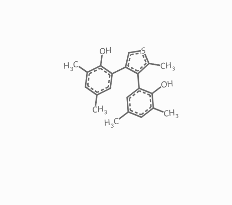 Cc1cc(C)c(O)c(-c2csc(C)c2-c2cc(C)cc(C)c2O)c1